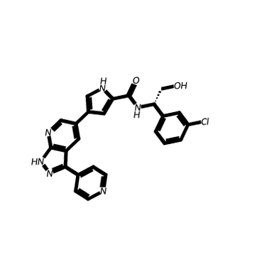 O=C(N[C@H](CO)c1cccc(Cl)c1)c1cc(-c2cnc3[nH]nc(-c4ccncc4)c3c2)c[nH]1